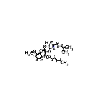 CCC=CCCOc1c(OC/C=C(\C)CCC=C(C)C)c(=O)oc2c(OC)cccc12